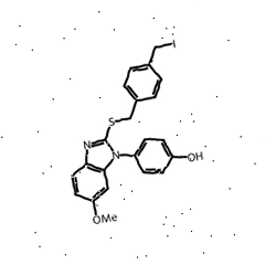 COc1ccc2nc(SCc3ccc(CI)cc3)n(-c3ccc(O)cc3)c2c1